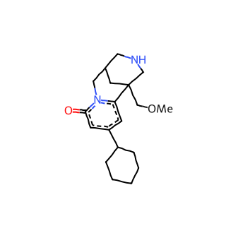 COCC12CNCC(Cn3c1cc(C1CCCCC1)cc3=O)C2